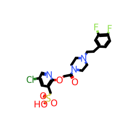 O=C(COc1ncc(Cl)cc1CS(=O)(=O)O)N1CCN(CCc2ccc(F)c(F)c2)CC1